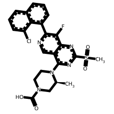 C[C@H]1CN(C(=O)O)CCN1c1nc(S(C)(=O)=O)nc2c(F)c(-c3cccc4cccc(Cl)c34)ncc12